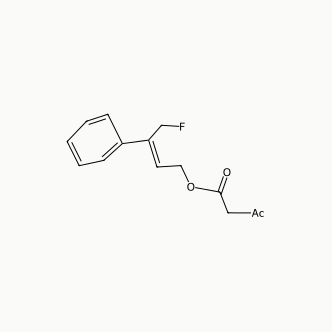 CC(=O)CC(=O)OCC=C(CF)c1ccccc1